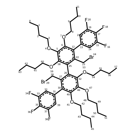 CCCCOc1c(OCCCC)c(-c2cc(F)c(F)c(F)c2)c(CBr)c(-c2c(CBr)c(-c3cc(F)c(F)c(F)c3)c(OCCCC)c(OCCCC)c2OCCCC)c1OCCCC